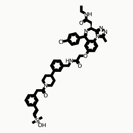 CCNC(=O)C[C@@H]1N=C(c2ccc(Cl)cc2)c2cc(OCC(=O)NCc3cccc(C4CCN(C(=O)Cc5cccc(/C=C/[Si](C)(C)O)c5)CC4)c3)ccc2-n2c(C)nnc21